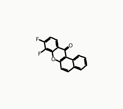 O=c1c2ccc(F)c(F)c2oc2ccc3ccccc3c12